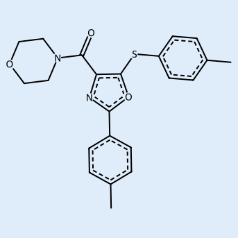 Cc1ccc(Sc2oc(-c3ccc(C)cc3)nc2C(=O)N2CCOCC2)cc1